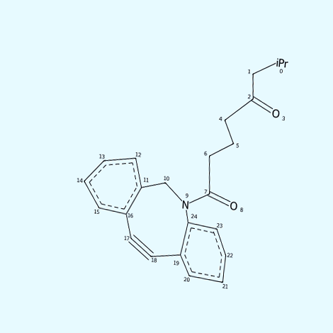 CC(C)CC(=O)CCCC(=O)N1Cc2ccccc2C#Cc2ccccc21